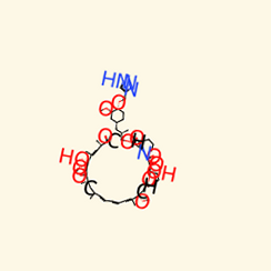 CO[C@H]1C[C@@H]2CC[C@@H](C)[C@@](O)(O2)C(=O)C(=O)N2CCCC[C@H]2C(=O)O[C@H]([C@H](C)C[C@@H]2CC[C@@H](OCc3c[nH]nn3)[C@H](OC)C2)CC(=O)[C@H](C)/C=C(\C)[C@@H](O)[C@@H](OC)C(=O)[C@H](C)C[C@H](C)/C=C/C=C/C=C/1C